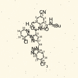 Cc1cc(C#N)cc(C(=O)NC(C)(C)C)c1NC(=O)c1cc(Cn2nnc3cc(C(F)(F)F)ccc32)nn1-c1ncccc1Cl